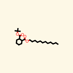 CCCCCCCCCCCCOC(=O)C1CCCCC1C(=O)OC(C)(C)C